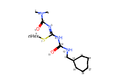 CCCCCCSC(=NC(=O)N(C)C)NC(=O)NCC1CCCCC1